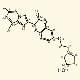 Cc1cn2cc(-c3cc4ccc(OCCN5CC[C@H](O)C5)cc4oc3=O)nc2c(C)n1